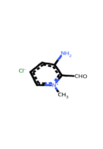 C[n+]1cccc(N)c1C=O.[Cl-]